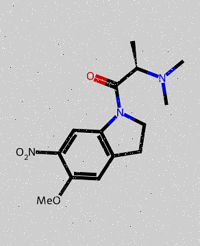 COc1cc2c(cc1[N+](=O)[O-])N(C(=O)[C@@H](C)N(C)C)CC2